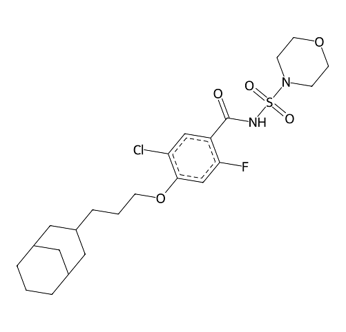 O=C(NS(=O)(=O)N1CCOCC1)c1cc(Cl)c(OCCCC2CC3CCCC(C2)C3)cc1F